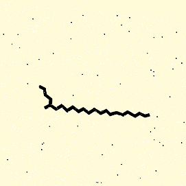 CCCCCCCCCCCCCCCCCCC(C)CCCC